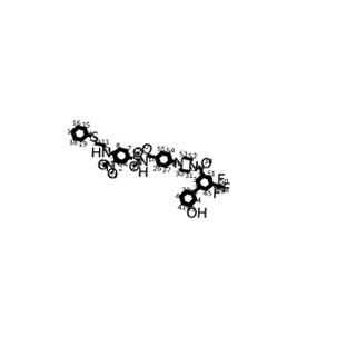 O=C(NS(=O)(=O)c1ccc(NCCSc2ccccc2)c([N+](=O)[O-])c1)c1ccc(N2CCN(C(=O)c3cc(-c4cccc(O)c4)cc(C(F)(F)F)c3)CC2)cc1